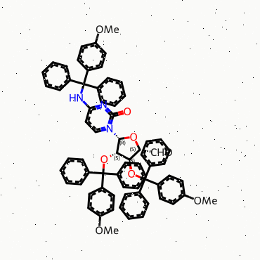 COc1ccc(C(Nc2ccn([C@@H]3O[C@H](C=O)[C@@H](OC(c4ccccc4)(c4ccccc4)c4ccc(OC)cc4)[C@@H]3OC(c3ccccc3)(c3ccccc3)c3ccc(OC)cc3)c(=O)n2)(c2ccccc2)c2ccccc2)cc1